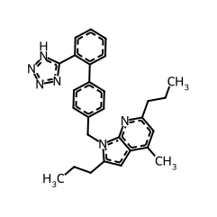 CCCc1cc(C)c2cc(CCC)n(Cc3ccc(-c4ccccc4-c4nnn[nH]4)cc3)c2n1